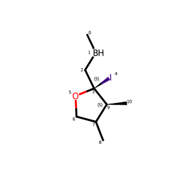 CBC[C@@]1(I)OCC(C)[C@@H]1C